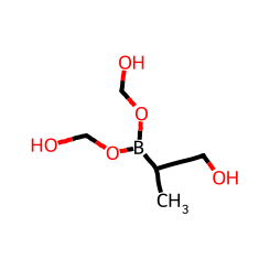 CC(CO)B(OCO)OCO